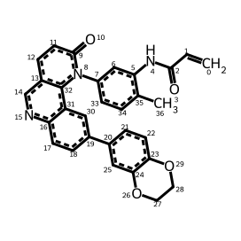 C=CC(=O)Nc1cc(-n2c(=O)ccc3cnc4ccc(-c5ccc6c(c5)OCCO6)cc4c32)ccc1C